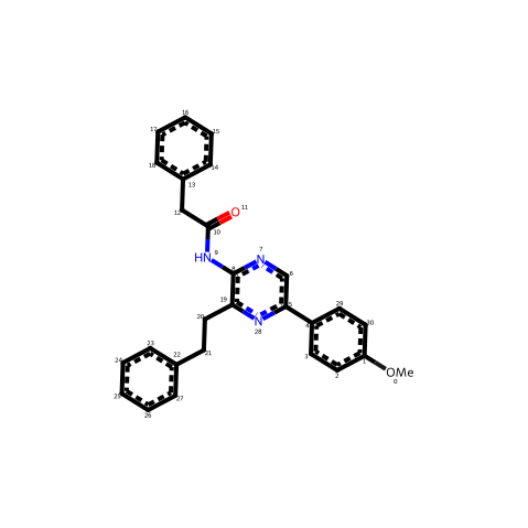 COc1ccc(-c2cnc(NC(=O)Cc3ccccc3)c(CCc3ccccc3)n2)cc1